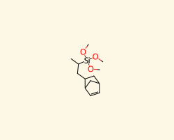 CO[Si](OC)(OC)C(C)CC1CC2C=CC1C2